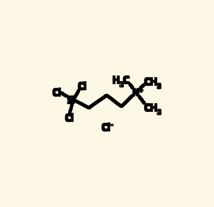 C[N+](C)(C)CCC[Si](Cl)(Cl)Cl.[Cl-]